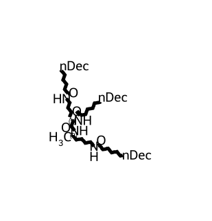 CCCCCCCCCCCCCCCC(=O)NCCCC[C@@H](C)NC(=O)[C@H](CCCCNC(=O)CCCCCCCCCCCCCCC)NC(=O)CCCCCCCCCCCCCCC